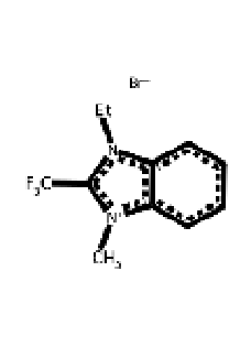 CCn1c(C(F)(F)F)[n+](C)c2ccccc21.[Br-]